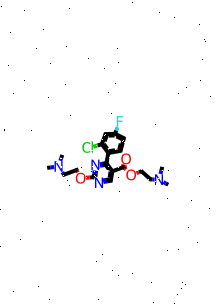 CN(C)CCOC(=O)c1cnc(OCCN(C)C)nc1-c1ccc(F)cc1Cl